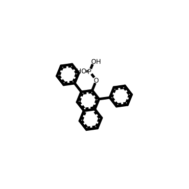 OP(O)Oc1c(-c2ccccc2)cc2ccccc2c1-c1ccccc1